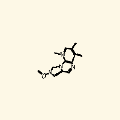 CON1C=C2C=NC3=C(N(C)CC(C)=C3C)N2C1